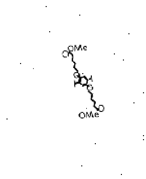 COC(=O)CCCCCOc1cc(I)c(OCCCCCC(=O)OC)cc1I